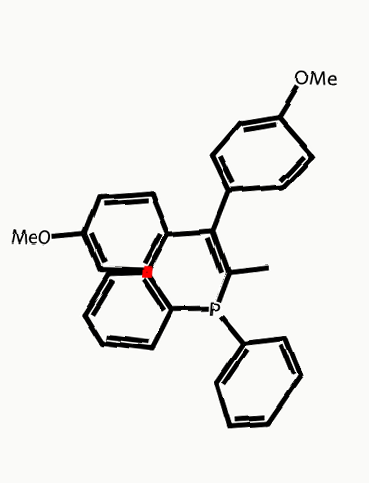 COc1ccc(C(=C(C)P(c2ccccc2)c2ccccc2)c2ccc(OC)cc2)cc1